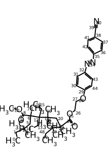 CCC(C)(C)CC(C)(C(=O)OC)C(CC)(CC)C(C)(C)CC(C)(C(=O)OCCOc1ccc(/N=N/c2ccc(C#N)cc2)cc1)C(C)(C)CC